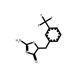 NC1=NC(=O)C(Cc2cccc(C(F)(F)F)c2)S1